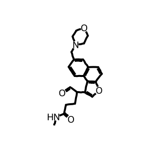 CNC(=O)CCC(C=O)c1coc2ccc3cc(CN4CCOCC4)ccc3c12